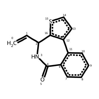 C=CC1NC(=O)c2ccccc2-c2ccsc21